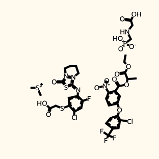 CCOC(=O)C(C)OC(=O)c1cc(Oc2ccc(C(F)(F)F)cc2Cl)ccc1[N+](=O)[O-].C[S+](C)C.O=C(O)CNCP(=O)([O-])O.O=C(O)CSc1cc(N=c2sc(=O)n3n2CCCC3)c(F)cc1Cl